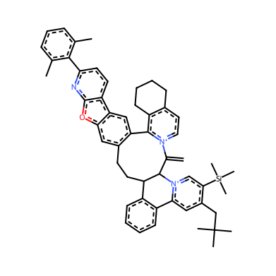 C=C1C2C(CCc3cc4oc5nc(-c6c(C)cccc6C)ccc5c4cc3-c3c4c(cc[n+]31)CCCC4)c1ccccc1-c1cc(CC(C)(C)C)c([Si](C)(C)C)c[n+]12